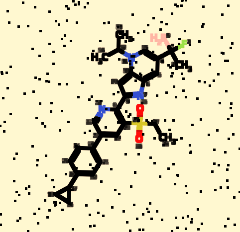 BC(C)(F)c1cc2nc(-c3ncc(-c4ccc(C5CC5)cc4)cc3S(=O)(=O)CC)cc-2n(C(C)C)c1